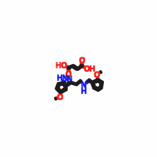 COc1ccc2[nH]nc(CCNCc3ccccc3OC)c2c1.O=C(O)/C=C/C(=O)O